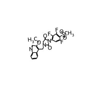 COc1cnc2ccccc2c1CN1CC(=O)N(c2cc(F)c(S(C)(=O)=O)c(F)c2F)C1=O